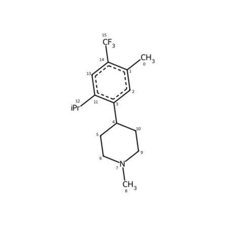 Cc1cc(C2CCN(C)CC2)c(C(C)C)cc1C(F)(F)F